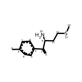 C=C(c1ccc(C)cc1)[C@@H](N)CCSC